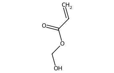 C=CC(=O)OCO